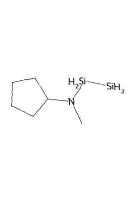 CN([SiH2][SiH3])C1CCCC1